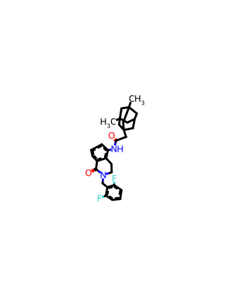 CC12CC3CC(C)(C1)CC(CC(=O)Nc1cccc4c1CCN(Cc1c(F)cccc1F)C4=O)(C3)C2